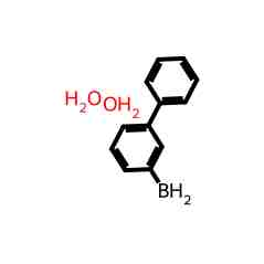 Bc1cccc(-c2ccccc2)c1.O.O